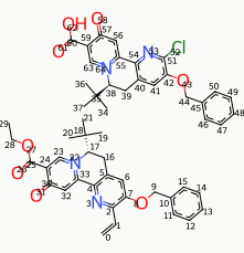 C=Cc1nc2c(cc1OCc1ccccc1)C[C@@H](C(C)(C)C)n1cc(C(=O)OCC)c(=O)cc1-2.CC(C)(C)[C@@H]1Cc2cc(OCc3ccccc3)c(Cl)nc2-c2cc(=O)c(C(=O)O)cn21